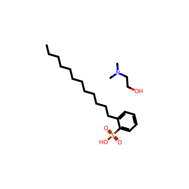 CCCCCCCCCCCCc1ccccc1S(=O)(=O)O.CN(C)CCO